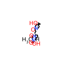 C[C@H]1C(=O)N2[C@@H](CCC(=O)N3CCC4(CC4)[C@H](O)C3)CC[C@H]2CN1C(=O)O